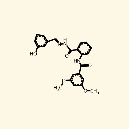 COc1cc(OC)cc(C(=O)Nc2ccccc2C(=O)NN=Cc2cccc(O)c2)c1